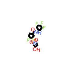 O=C(Nc1cc(F)c(F)c(F)c1)c1ccc(F)c(S(=O)(=O)N2CCC(O)C2)c1